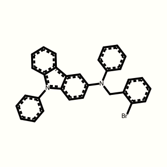 Brc1ccccc1CN(c1ccccc1)c1ccc2c(c1)c1ccccc1n2-c1ccccc1